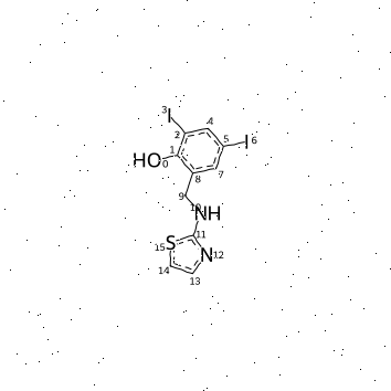 Oc1c(I)cc(I)cc1CNc1nccs1